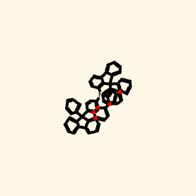 c1ccc(-c2ccccc2N(c2ccc(C3(c4ccccc4)c4ccccc4-c4ccccc43)cc2)c2cccc3c2C(c2ccccc2)(c2ccccc2)c2ccccc2-3)cc1